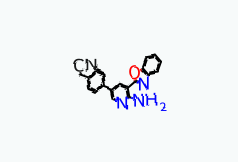 N#CCc1ccc(-c2cnc(N)c(-c3nc4ccccc4o3)c2)cc1